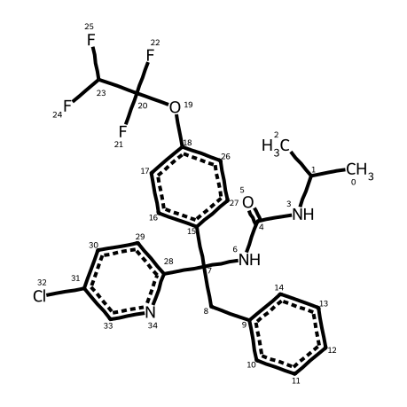 CC(C)NC(=O)NC(Cc1ccccc1)(c1ccc(OC(F)(F)C(F)F)cc1)c1ccc(Cl)cn1